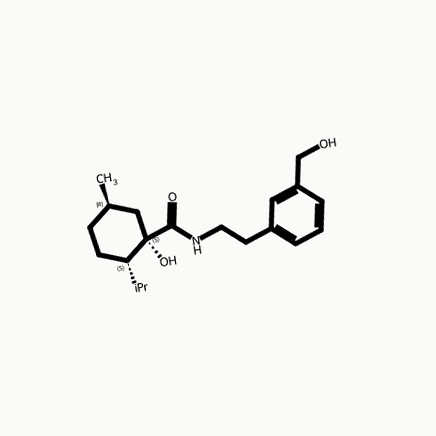 CC(C)[C@@H]1CC[C@@H](C)C[C@@]1(O)C(=O)NCCc1cccc(CO)c1